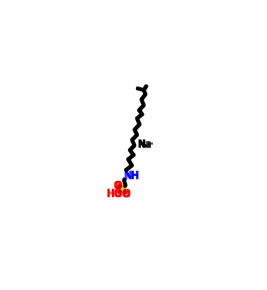 CC(C)CCCCCCCCCCCCCCCCNCCS(=O)(=O)O.[Na]